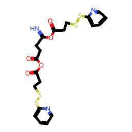 N=C(CCC(=O)OC(=O)CCSSc1ccccn1)OC(=O)CCSSc1ccccn1